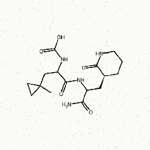 CC1(CC(NC(=O)O)C(=O)NC(C[C@@H]2CCCNC2=O)C(N)=O)CC1